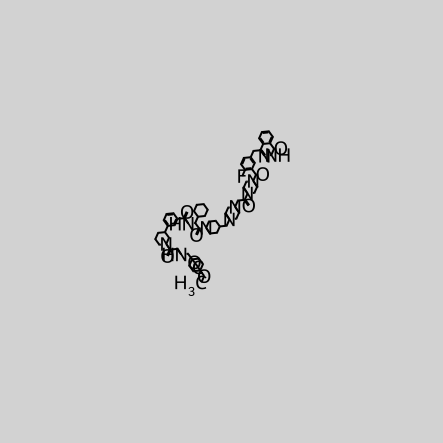 COC12CCC(CNCC(=O)N3CCCC(c4cccc(C(=O)N[C@@H](C(=O)N5CCC(CN6CCN(CC(=O)N7CCN(C(=O)c8cc(Cc9n[nH]c(=O)c%10ccccc9%10)ccc8F)CC7)CC6)CC5)C5CCCCC5)c4)C3)(CC1)OC2